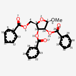 CO[C@H]1O[C@H](COC(=O)c2ccccc2)[C@H](OC(=O)c2ccccc2)[C@@H]1OC(=O)c1ccccc1